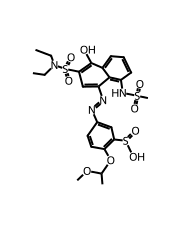 CCN(CC)S(=O)(=O)c1cc(N=Nc2ccc(OC(C)OC)c(S(=O)O)c2)c2c(NS(C)(=O)=O)cccc2c1O